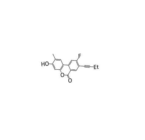 CCC#Cc1cc2c(=O)oc3cc(O)c(C)cc3c2cc1F